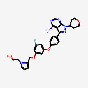 Nc1ncnc2c1c(-c1ccc(Oc3cc(F)cc(OCc4cccn4CCO)c3)cc1)nn2C1CCOCC1